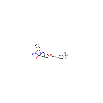 NC(=O)C1Cc2ccc(OCCCc3ccc(C(F)(F)F)cc3)cc2CN1C(=O)CC1CCCC1